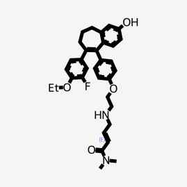 CCOc1ccc(C2=C(c3ccc(OCCNC/C=C/C(=O)N(C)C)cc3)c3ccc(O)cc3CCC2)cc1F